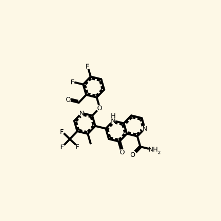 Cc1c(C(F)(F)F)cnc(Oc2ccc(F)c(F)c2C=O)c1-c1cc(=O)c2c(C(N)=O)nccc2[nH]1